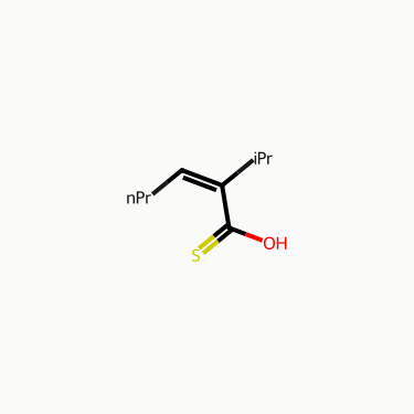 CCCC=C(C(O)=S)C(C)C